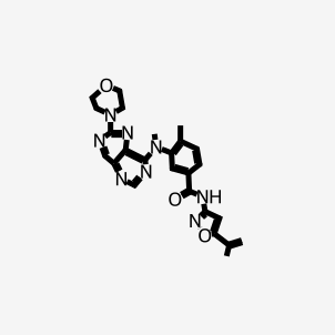 C=C(C)c1cc(NC(=O)c2ccc(C)c(N(C)c3ncnc4cnc(N5CCOCC5)nc34)c2)no1